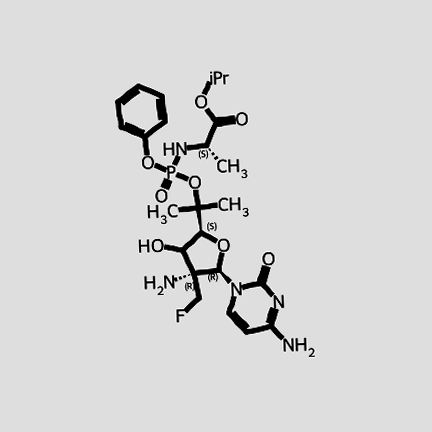 CC(C)OC(=O)[C@H](C)NP(=O)(Oc1ccccc1)OC(C)(C)[C@H]1O[C@@H](n2ccc(N)nc2=O)[C@@](N)(CF)C1O